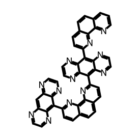 c1cnc2c(c1)ccc1ccc(-c3c4nccnc4c(-c4ccc5ccc6ccc(-c7c8nccnc8cc8nccnc78)nc6c5n4)c4nccnc34)nc12